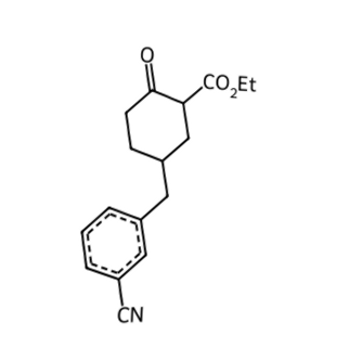 CCOC(=O)C1CC(Cc2cccc(C#N)c2)CCC1=O